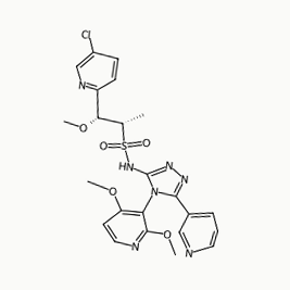 COc1ccnc(OC)c1-n1c(NS(=O)(=O)[C@@H](C)[C@H](OC)c2ccc(Cl)cn2)nnc1-c1cccnc1